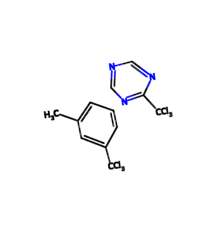 Cc1cccc(C(Cl)(Cl)Cl)c1.ClC(Cl)(Cl)c1ncncn1